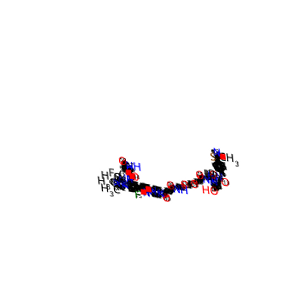 Cc1ncsc1-c1ccc(CNC(=O)[C@@H]2C[C@@H](O)CN2C(=O)C(NC(=O)CCOCCOCCNC(=O)CCC(=O)N2CCN(c3ccc(-c4cc(NC(=O)c5c[nH]c(=O)cc5C(F)(F)F)c(N5C[C@@H](C)N(C)[C@@H](C)C5)cc4F)cn3)CC2)C(C)(C)C)cc1